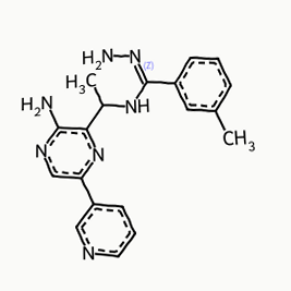 Cc1cccc(/C(=N/N)NC(C)c2nc(-c3cccnc3)cnc2N)c1